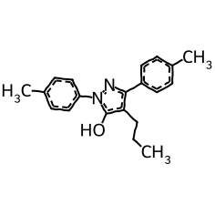 CCCc1c(-c2ccc(C)cc2)nn(-c2ccc(C)cc2)c1O